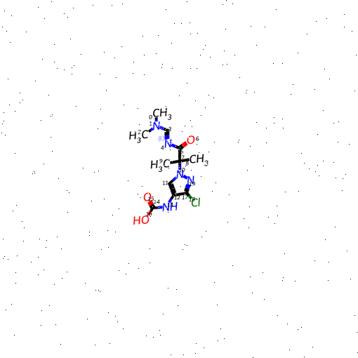 CN(C)/C=N/C(=O)C(C)(C)n1cc(NC(=O)O)c(Cl)n1